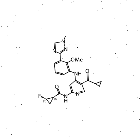 COc1c(Nc2cc(NC(=O)[C@H]3C[C@H]3F)ncc2C(=O)C2CC2)cccc1-c1ncn(C)n1